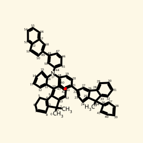 CC1(C)C2=C(CCC=C2)c2c(-c3ccccc3N(c3ccc(-c4ccc5c(c4)-c4ccccc4C5(C)c4ccccc4)cc3)c3cccc(-c4ccc5ccccc5c4)c3)cccc21